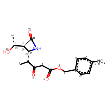 CC(C(=O)CC(=O)OCc1ccc([N+](=O)[O-])cc1)[C@H]1NC(=O)[C@H]1[C@@H](C)O